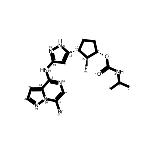 CC(C)NC(=O)O[C@H]1CC[C@@H](c2cc(Nc3ncc(Br)n4nccc34)n[nH]2)[C@@H]1F